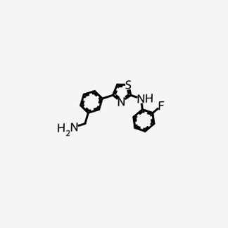 NCc1cccc(-c2csc(Nc3ccccc3F)n2)c1